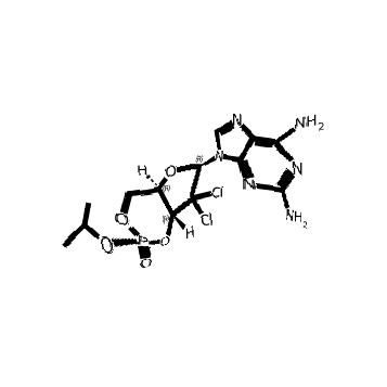 CC(C)OP1(=O)OC[C@H]2O[C@@H](n3cnc4c(N)nc(N)nc43)C(Cl)(Cl)[C@@H]2O1